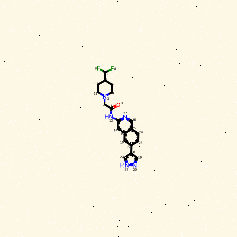 O=C(CN1CCC(C(F)F)CC1)Nc1cc2cc(-c3cn[nH]c3)ccc2cn1